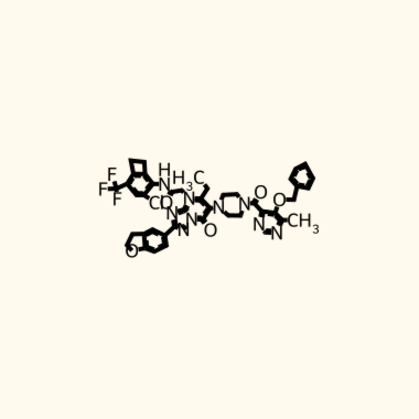 CCc1c(N2CCN(C(=O)c3ncnc(C)c3OCc3ccccc3)CC2)c(=O)n2nc(-c3ccc4c(c3)CCO4)nc2n1CC(=O)Nc1c(Cl)cc(C(F)(F)F)c2c1CC2